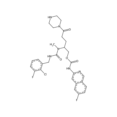 CN(C(=O)NCc1cccc(F)c1Cl)C(CCC(=O)N1CCNCC1)COC(=O)Nc1cc2cc(F)ccc2cn1